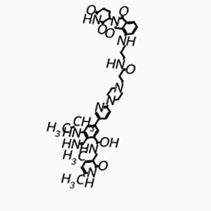 Cc1cc(C)c(CNC(O)c2cc(-c3ccc(N4CCN(CCC(=O)NCCCNc5cccc6c5C(=O)N(C5CCC(=O)NC5=O)C6=O)CC4)nc3)cc(NC(C)C)c2C=N)c(=O)[nH]1